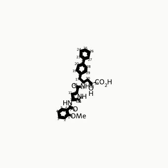 COc1ccccc1C(=O)Nc1cc(C(=O)NC(Cc2ccc(-c3ccccc3)cc2)C[C@@H](O)C(=O)O)[nH]n1